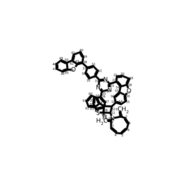 C=c1ccccccc(=C)n1C1C(c2ccc3oc4cccc(-c5nc(-c6ccccc6)nc(-c6ccc(-c7cccc8c7oc7ccccc78)cc6)n5)c4c3c2)C2c3ccccc3S[C@H]21